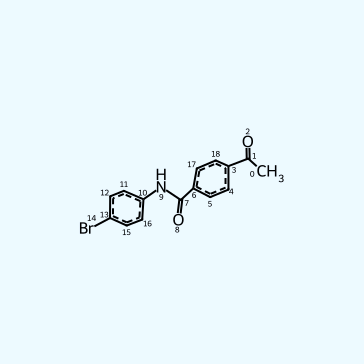 CC(=O)c1ccc(C(=O)Nc2ccc(Br)cc2)cc1